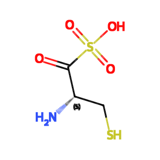 N[C@@H](CS)C(=O)S(=O)(=O)O